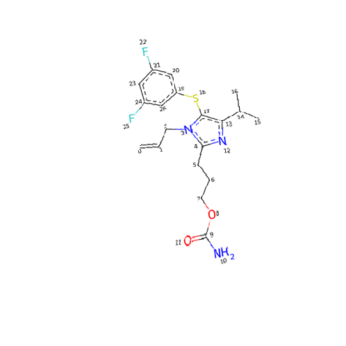 C=CCn1c(CCCOC(N)=O)nc(C(C)C)c1Sc1cc(F)cc(F)c1